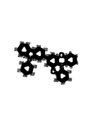 S=P12c3ccccc3Oc3cc(-c4ccc5c6ccccc6n(-c6ccccc6)c5c4)cc(c31)Oc1ccccc12